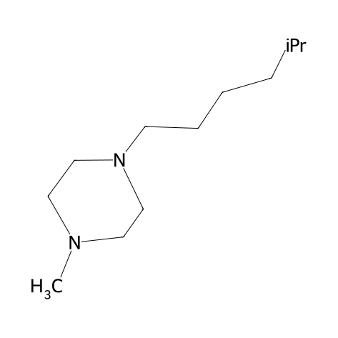 CC(C)CCCCN1CCN(C)CC1